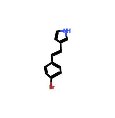 Brc1ccc(C=Cc2cc[nH]c2)cc1